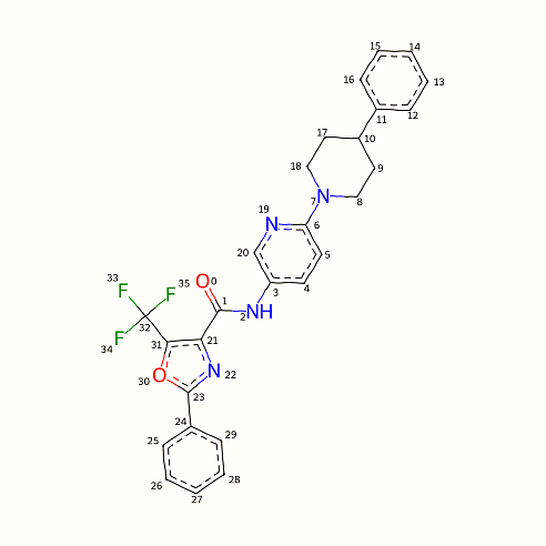 O=C(Nc1ccc(N2CCC(c3ccccc3)CC2)nc1)c1nc(-c2ccccc2)oc1C(F)(F)F